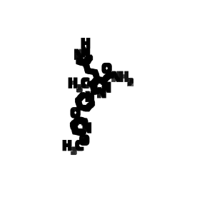 COc1ccc(OC2CCN(c3nnc(C(N)=O)c(CCc4cn[nH]c4)c3C)CC2)cn1